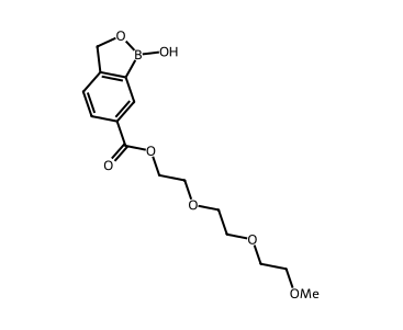 COCCOCCOCCOC(=O)c1ccc2c(c1)B(O)OC2